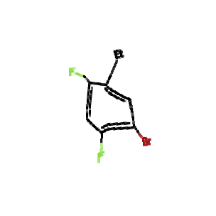 CCc1cc(Br)c(F)cc1F